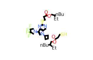 CCCCC(CC)COC(=O)CCS.CCCCC(CC)COC(=O)CCSc1ncc2c(n1)c(N1CC(F)(F)C(F)(F)C1)cn2C1CCC1